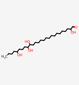 CCCCC(O)CCCC(O)C(O)CCCCCCCCCCCCCCC(O)C=O